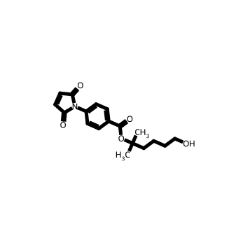 CC(C)(CCCCO)OC(=O)c1ccc(N2C(=O)C=CC2=O)cc1